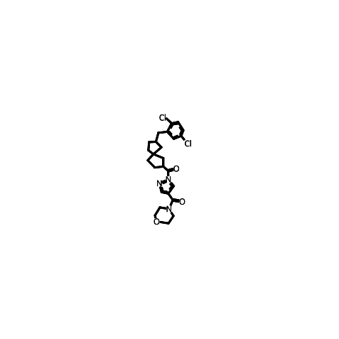 O=C(c1cnn(C(=O)C2CCC3(CCC(Cc4cc(Cl)ccc4Cl)C3)C2)c1)N1CCOCC1